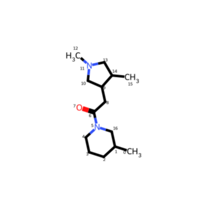 CC1CCCN(C(=O)CC2CN(C)CC2C)C1